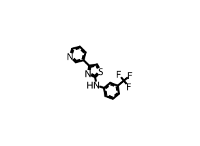 FC(F)(F)c1cccc(Nc2nc(-c3cccnc3)cs2)c1